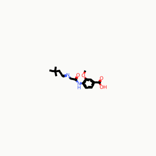 COc1cc(C(=O)O)ccc1NC(=O)CN=CCC(C)(C)C